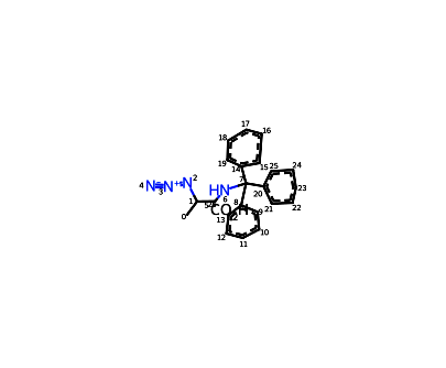 CC(N=[N+]=[N-])C(NC(c1ccccc1)(c1ccccc1)c1ccccc1)C(=O)O